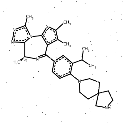 Cc1sc2c(c1C)C(c1ccc(N3CCC4(CCNC4)CC3)c(C(C)C)c1)=N[C@@H](C)c1nnc(C)n1-2